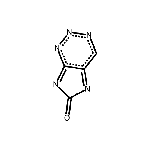 O=C1N=c2cnnnc2=N1